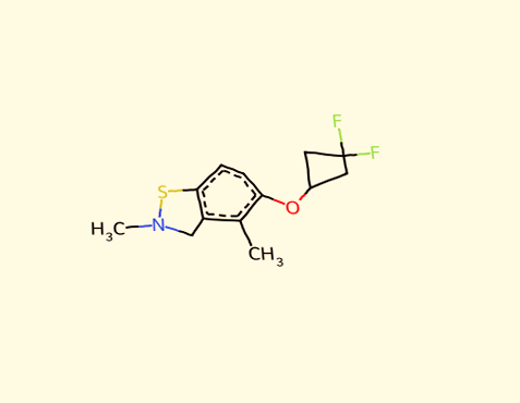 Cc1c(OC2CC(F)(F)C2)ccc2c1CN(C)S2